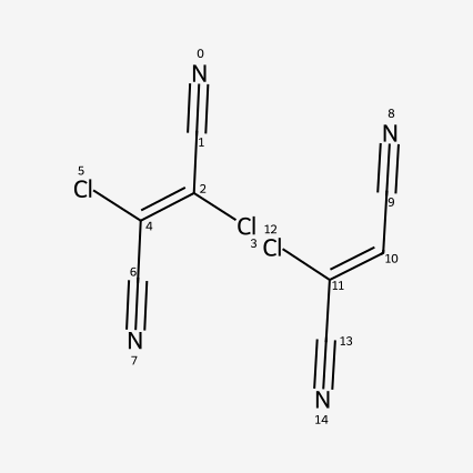 N#CC(Cl)=C(Cl)C#N.N#CC=C(Cl)C#N